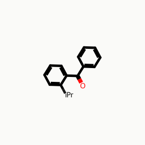 CC(C)c1ccccc1C(=O)c1ccccc1